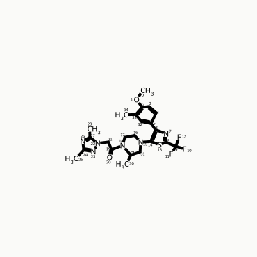 COc1ccc(-c2nc(C(F)(F)F)sc2N2CCN(C(=O)Cn3nc(C)nc3C)C(C)C2)cc1C